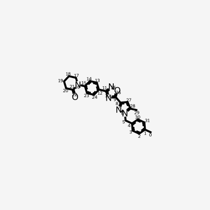 Cc1ccc(Cn2nc(-c3nc(-c4ccc(N5CCCCC5=O)cc4)no3)cc2C)cc1